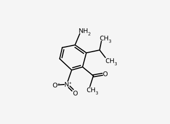 CC(=O)c1c([N+](=O)[O-])ccc(N)c1C(C)C